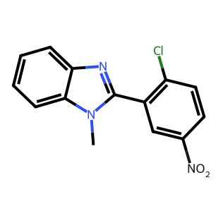 Cn1c(-c2cc([N+](=O)[O-])ccc2Cl)nc2ccccc21